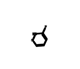 FC1=CC=C[N]N1